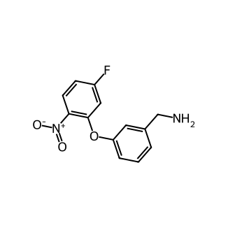 NCc1cccc(Oc2cc(F)ccc2[N+](=O)[O-])c1